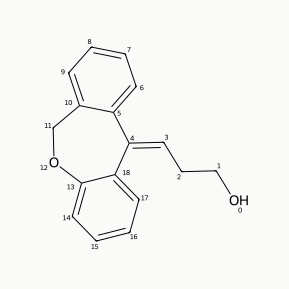 OCCC=C1c2ccccc2COc2ccccc21